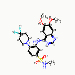 CNS(=O)(=O)c1ccc(N2CCC(F)(F)CC2)c(Nc2ncnc3cc(OC)c(OC)cc23)c1